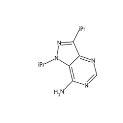 CC(C)c1nn(C(C)C)c2c(N)ncnc12